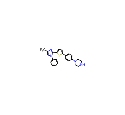 FC(F)(F)c1cn(-c2ccccc2)c(-c2ccc(-c3ccc(N4CCNCC4)cc3)s2)n1